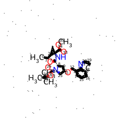 CCC1C[C@]1(NC(=O)[C@@H]1C[C@@H](OCc2cccc3cccnc23)CN1C(=O)OC(C)(C)C)C(=O)OC